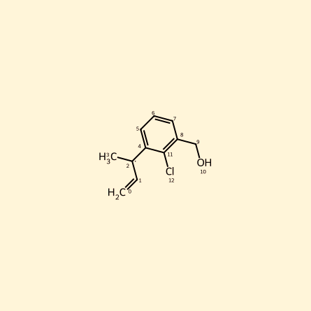 C=C[C](C)c1cccc(CO)c1Cl